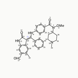 CON(C(=O)c1ccc(N/C(=C2\C(=O)Nc3cc(C=O)c(C)cc32)c2ccccc2)cc1)C1CCN(C)CC1